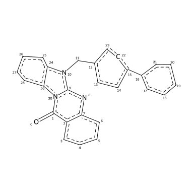 O=c1c2ccccc2nc2n(Cc3ccc(-c4ccccc4)cc3)c3ccccc3n12